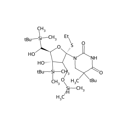 CCS[C@@]1(N2CC(C)(C(C)(C)C)C(=O)NC2=O)O[C@H](C(O)[Si](C)(C)C(C)(C)C)[C@](O)([Si](C)(C)C(C)(C)C)C1CO[SiH](C)C